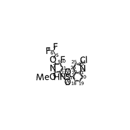 COc1nc(OCC(F)F)c(F)cc1NS(=O)(=O)c1cccc2nc(Cl)ccc12